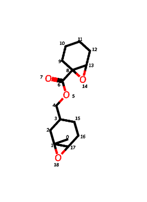 CC12CC(COC(=O)C34CCCCC3O4)CCC1O2